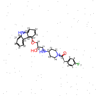 O=C(Cc1ccc(F)cc1)N1CCC(NCC(O)COc2cccc3[nH]c4ccccc4c23)CC1